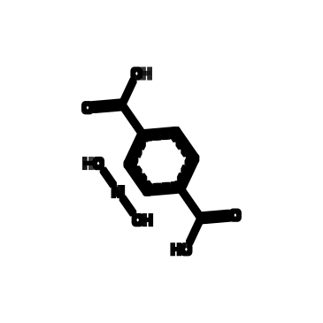 O=C(O)c1ccc(C(=O)O)cc1.[OH][Ni][OH]